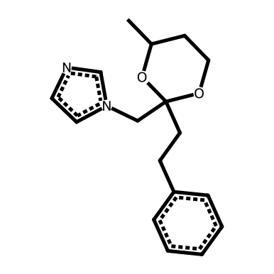 CC1CCOC(CCc2ccccc2)(Cn2ccnc2)O1